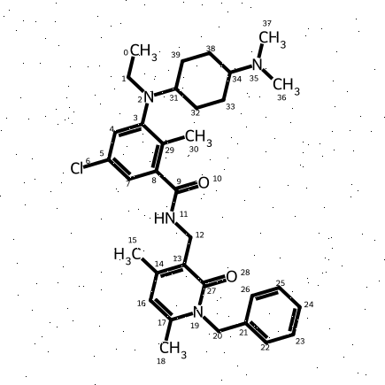 CCN(c1cc(Cl)cc(C(=O)NCc2c(C)cc(C)n(Cc3ccccc3)c2=O)c1C)C1CCC(N(C)C)CC1